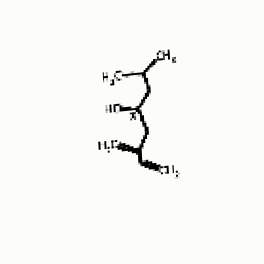 C=CC(=C)C[C@@H](O)CC(C)C